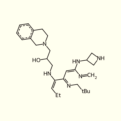 C=N\C(=C/C(=N\CC(C)(C)C)C(=C\CC)/NCC(O)CN1CCc2ccccc2C1)NC1CNC1